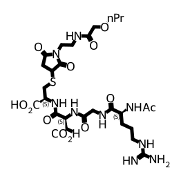 CCCOCC(=O)NCCN1C(=O)CC(SC[C@@H](NC(=O)[C@H](CC(=O)O)NC(=O)CNC(=O)[C@H](CCCNC(=N)N)NC(C)=O)C(=O)O)C1=O